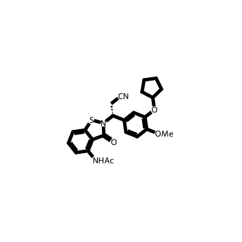 COc1ccc([C@@H](CC#N)n2sc3cccc(NC(C)=O)c3c2=O)cc1OC1CCCC1